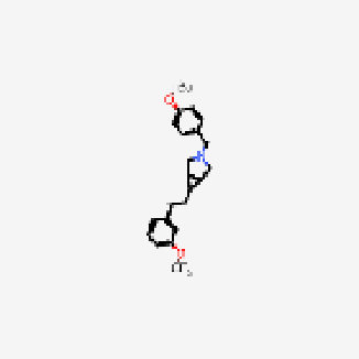 CCCCOc1ccc(CN2CC3C(C[CH]c4cccc(OC(F)(F)F)c4)C3C2)cc1